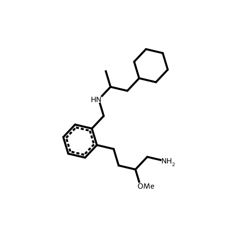 COC(CN)CCc1ccccc1CNC(C)CC1CCCCC1